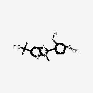 CCSc1cc(SC(F)(F)F)ccc1-c1nc2cc(C(F)(F)C(F)(F)F)cnc2n1C